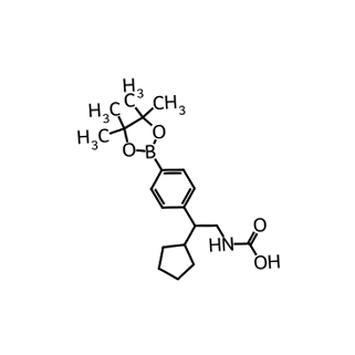 CC1(C)OB(c2ccc(C(CNC(=O)O)C3CCCC3)cc2)OC1(C)C